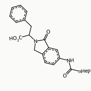 CCCCCCCC(=O)Nc1ccc2c(c1)C(=O)N(C(Cc1ccccc1)C(=O)O)C2